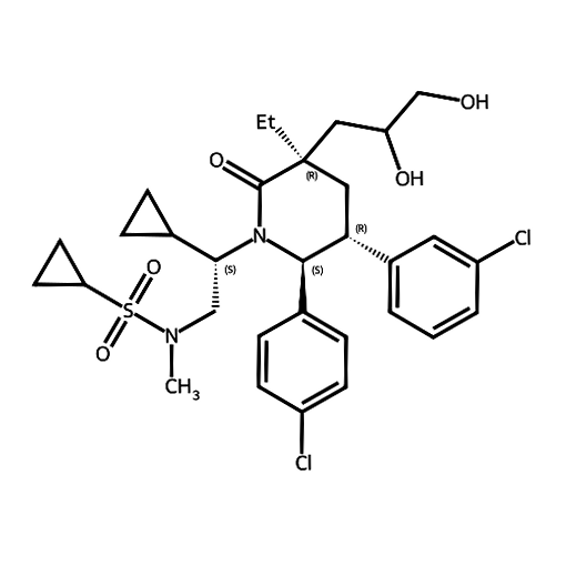 CC[C@]1(CC(O)CO)C[C@H](c2cccc(Cl)c2)[C@@H](c2ccc(Cl)cc2)N([C@H](CN(C)S(=O)(=O)C2CC2)C2CC2)C1=O